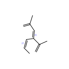 C=C(C)/C=C(\C=C/C)C(=C)C